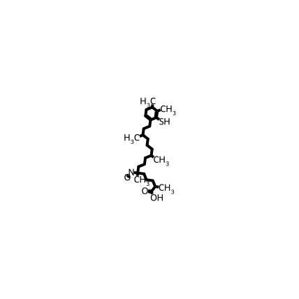 CC1=C(S)C(CCC(C)CCCC(C)CCCC(C)(CCCC(C)C(=O)O)N=O)=CCC1C